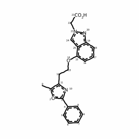 Cc1oc(-c2ccccc2)nc1CCOc1cccc2nn(CC(=O)O)cc12